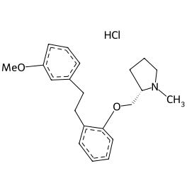 COc1cccc(CCc2ccccc2OC[C@@H]2CCCN2C)c1.Cl